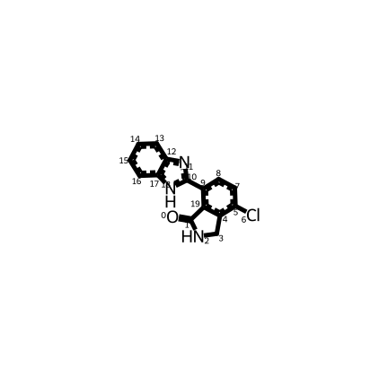 O=C1NCc2c(Cl)ccc(-c3nc4ccccc4[nH]3)c21